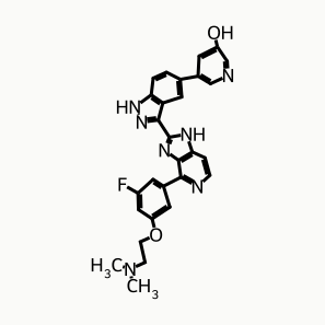 CN(C)CCOc1cc(F)cc(-c2nccc3[nH]c(-c4n[nH]c5ccc(-c6cncc(O)c6)cc45)nc23)c1